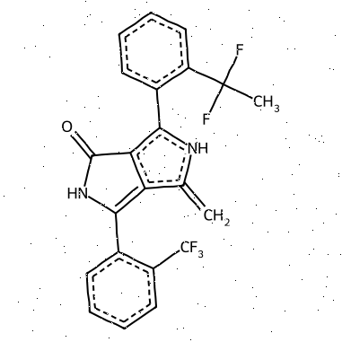 C=c1[nH]c(-c2ccccc2C(C)(F)F)c2c1=C(c1ccccc1C(F)(F)F)NC2=O